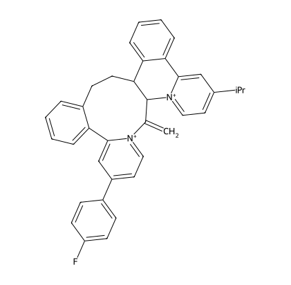 C=C1C2C(CCc3ccccc3-c3cc(-c4ccc(F)cc4)cc[n+]31)c1ccccc1-c1cc(C(C)C)cc[n+]12